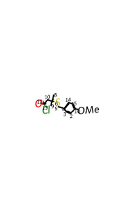 COc1ccc(CSC(C)(C)CC(=O)Cl)cc1